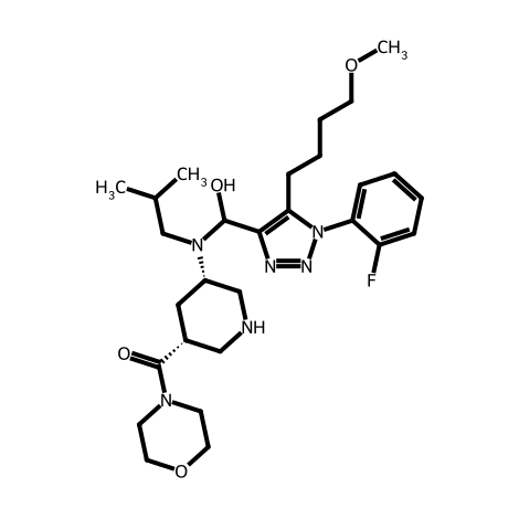 COCCCCc1c(C(O)N(CC(C)C)[C@@H]2CNC[C@H](C(=O)N3CCOCC3)C2)nnn1-c1ccccc1F